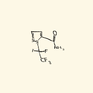 NC(=O)c1ccnn1C(F)(F)C(F)(F)F